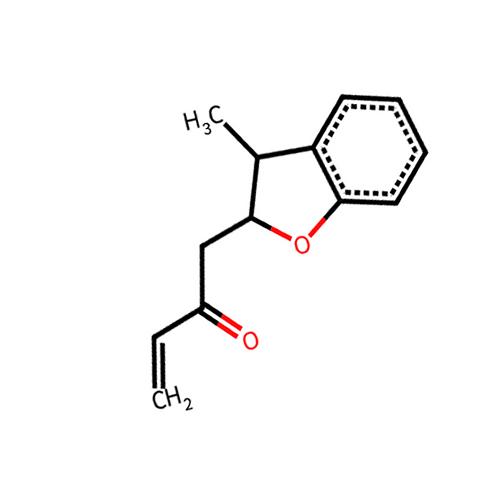 C=CC(=O)CC1Oc2ccccc2C1C